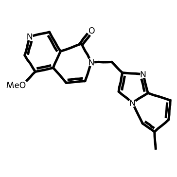 COc1cncc2c(=O)n(Cc3cn4cc(C)ccc4n3)ccc12